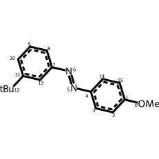 COc1ccc(N=Nc2cccc(C(C)(C)C)c2)cc1